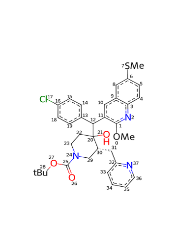 COc1nc2ccc(SC)cc2cc1C(c1ccc(Cl)cc1)C1(O)CCN(C(=O)OC(C)(C)C)C[C@H]1Cc1ccccn1